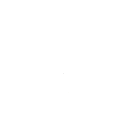 SC=CCCCCCS